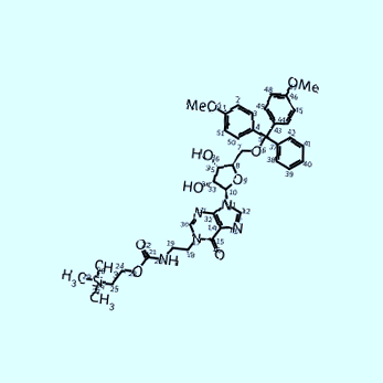 COc1ccc(C(OC[C@H]2O[C@@H](n3cnc4c(=O)n(CCNC(=O)OCC[Si](C)(C)C)cnc43)[C@H](O)[C@@H]2O)(c2ccccc2)c2ccc(OC)cc2)cc1